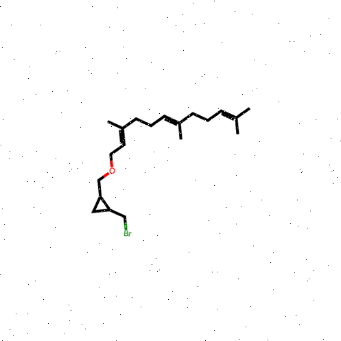 CC(C)=CCC/C(C)=C/CC/C(C)=C/COCC1CC1CBr